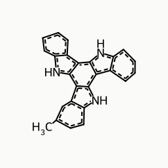 Cc1ccc2[nH]c3c4c5ccccc5[nH]c4c4c5ccccc5[nH]c4c3c2c1